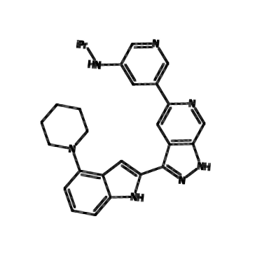 CC(C)Nc1cncc(-c2cc3c(-c4cc5c(N6CCCCC6)cccc5[nH]4)n[nH]c3cn2)c1